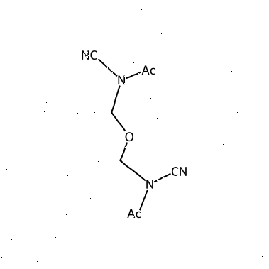 CC(=O)N(C#N)COCN(C#N)C(C)=O